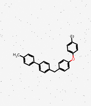 CCc1ccc(Oc2ccc(Cc3ccc(-c4ccc(C)cc4)cc3)cc2)cc1